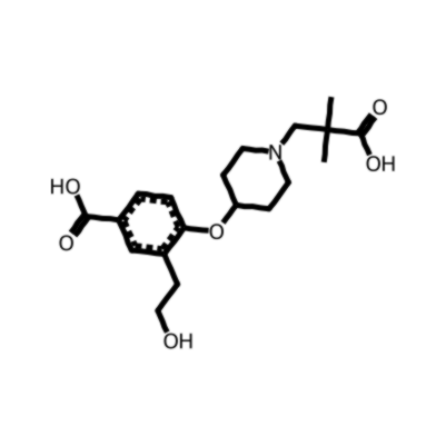 CC(C)(CN1CCC(Oc2ccc(C(=O)O)cc2CCO)CC1)C(=O)O